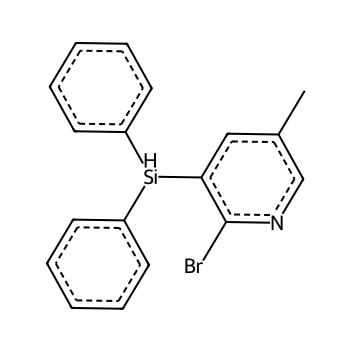 Cc1cnc(Br)c([SiH](c2ccccc2)c2ccccc2)c1